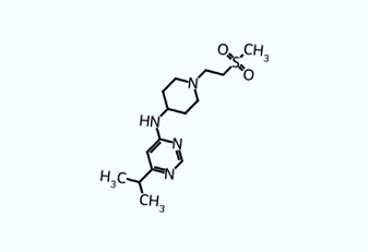 CC(C)c1cc(NC2CCN(CCS(C)(=O)=O)CC2)ncn1